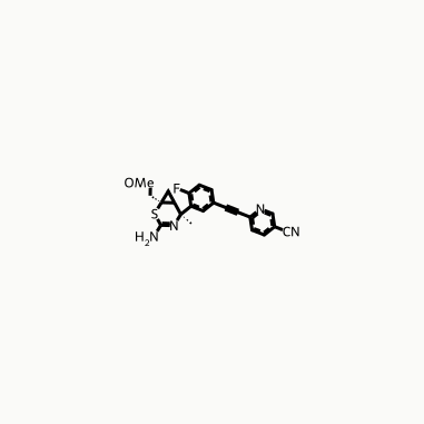 COC[C@]12CC1[C@@](C)(c1cc(C#Cc3ccc(C#N)cn3)ccc1F)N=C(N)S2